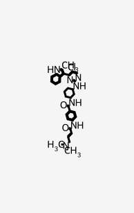 Cc1[nH]c2ccccc2c1-c1nc(N[C@@H]2CCC[C@H](NC(=O)c3ccc(NC(=O)/C=C/CN(C)C)cc3)C2)ncc1Cl